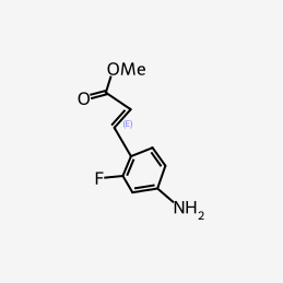 COC(=O)/C=C/c1ccc(N)cc1F